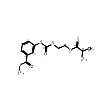 COC(=O)c1cccc(OC(=O)OCCOC(=O)C(C)C)c1